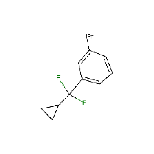 CC(C)c1cccc(C(F)(F)C2CC2)c1